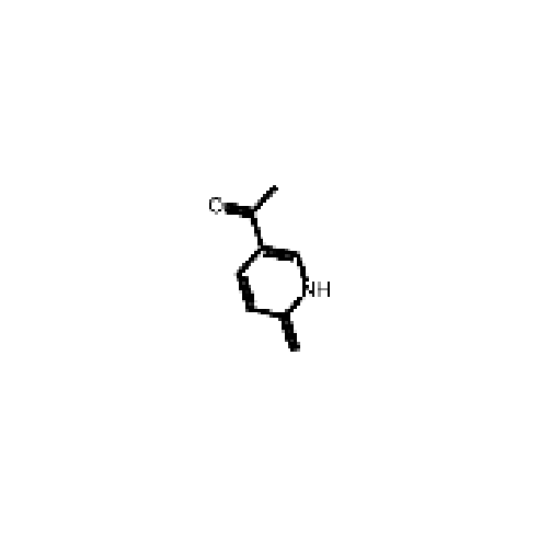 C=C1C=CC(C(C)=O)=CN1